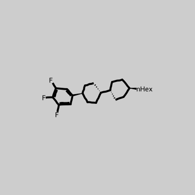 CCCCCC[C@H]1CC[C@H]([C@H]2CC[C@H](c3cc(F)c(F)c(F)c3)CC2)CC1